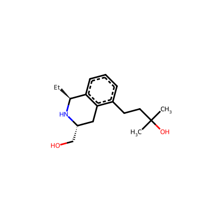 CC[C@@H]1N[C@@H](CO)Cc2c(CCC(C)(C)O)cccc21